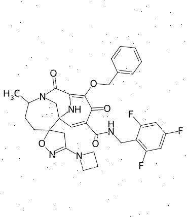 CC1CCC2(CC(N3CCC3)=NO2)C23C=C(C(=O)NCc4c(F)cc(F)cc4F)C(=O)C(OCc4ccccc4)=C(N2)C(=O)N1C3